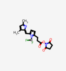 CC1=CC(C)=N/C1=C\c1ccc(CCC(=O)ON2C(=O)CCC2=O)n1B(F)F